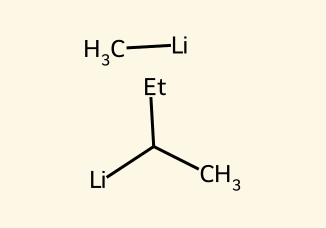 [Li][CH3].[Li][CH](C)CC